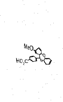 COc1ccc2c(c1)C(c1ccc(C(=O)O)cc1)=Nc1ccccc1O2